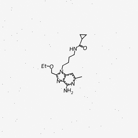 CCOCc1nc2c(N)nc(C)cc2n1CCCCNC(=O)C1CC1